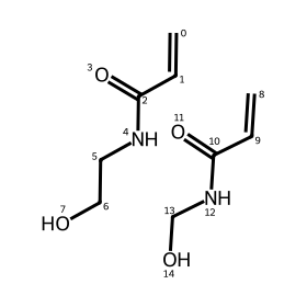 C=CC(=O)NCCO.C=CC(=O)NCO